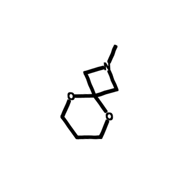 CN1CC2(C1)OCCCO2